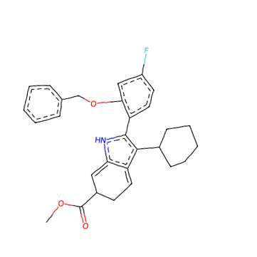 COC(=O)C1C=c2[nH]c(-c3ccc(F)cc3OCc3ccccc3)c(C3CCCCC3)c2=CC1